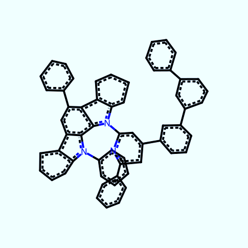 c1ccc(-c2cccc(-c3cccc(-c4cc(-c5ccccc5)nc(-n5c6ccccc6c6c(-c7ccccc7)cc7c8ccccc8n(-c8ccccc8)c7c65)c4)c3)c2)cc1